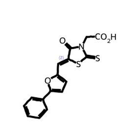 O=C(O)CN1C(=O)/C(=C/c2ccc(-c3ccccc3)o2)SC1=S